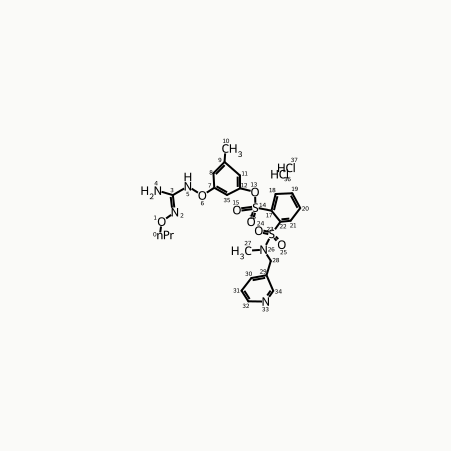 CCCON=C(N)NOc1cc(C)cc(OS(=O)(=O)c2ccccc2S(=O)(=O)N(C)Cc2cccnc2)c1.Cl.Cl